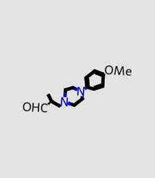 COc1ccc(N2CCN(C[C@H](C)C=O)CC2)cc1